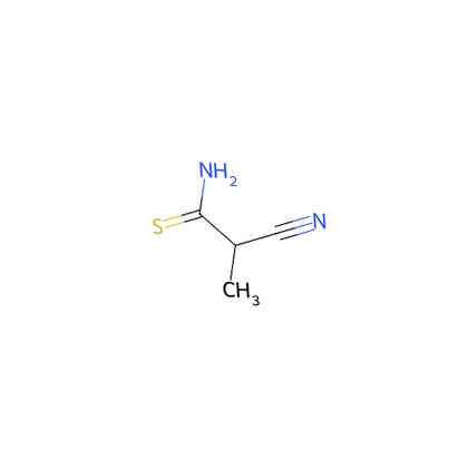 CC(C#N)C(N)=S